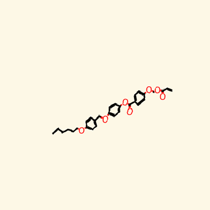 C=CC(=O)OCOc1ccc(C(=O)Oc2ccc(OCc3ccc(OCCCCCC)cc3)cc2)cc1